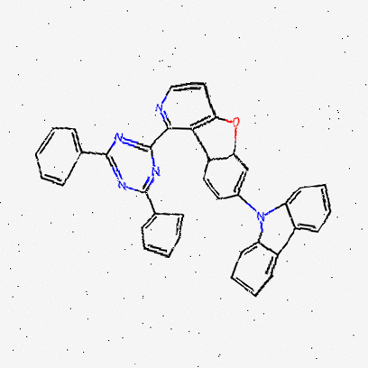 C1=CC2c3c(ccnc3-c3nc(-c4ccccc4)nc(-c4ccccc4)n3)OC2C=C1n1c2ccccc2c2ccccc21